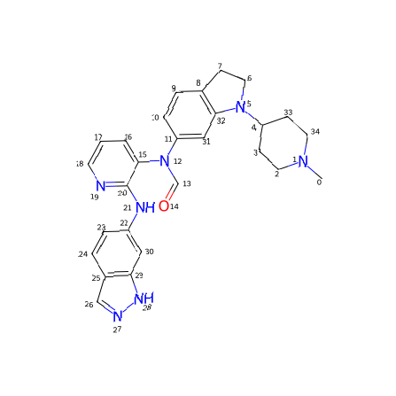 CN1CCC(N2CCc3ccc(N(C=O)c4cccnc4Nc4ccc5cn[nH]c5c4)cc32)CC1